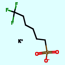 O=S(=O)([O-])CCCCCC(F)(F)F.[K+]